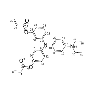 C=CC(=O)Oc1ccc(N(c2ccc(N(CC)CC)cc2)c2cccc(OC(=O)C=C)c2)cc1